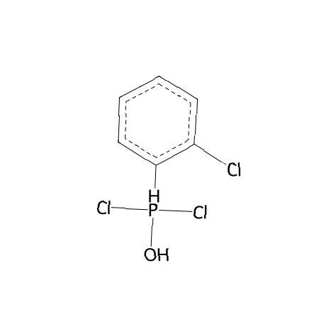 O[PH](Cl)(Cl)c1ccccc1Cl